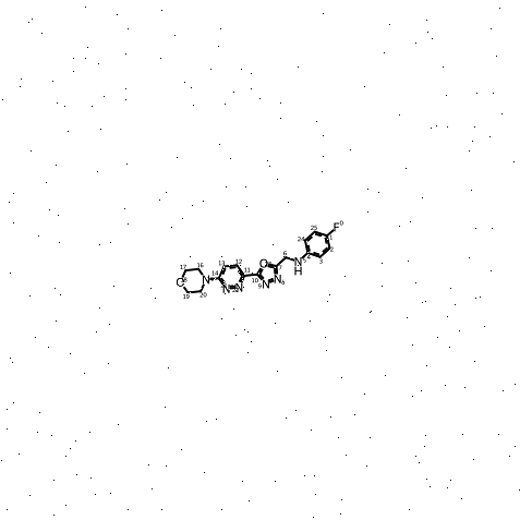 Fc1ccc(NCc2nnc(-c3ccc(N4CCOCC4)nn3)o2)cc1